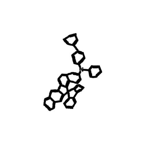 c1ccc(-c2ccc(N(c3ccccc3)c3ccc4c5c(ccc4c3)-c3cc4ccccc4cc3C53c4ccccc4-c4ccccc43)cc2)cc1